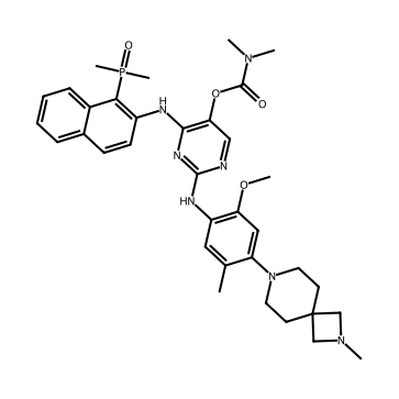 COc1cc(N2CCC3(CC2)CN(C)C3)c(C)cc1Nc1ncc(OC(=O)N(C)C)c(Nc2ccc3ccccc3c2P(C)(C)=O)n1